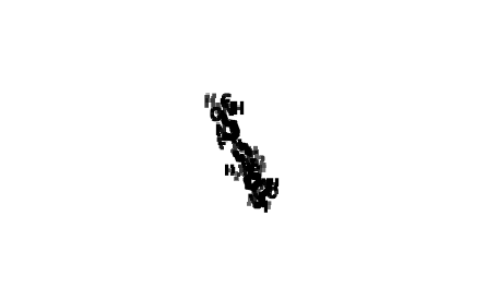 BC(B)(c1ccc2c([nH]c(=O)c3c(F)cnn32)c1F)N1CCN(c2ccc(C(=O)NC)nc2F)CC1